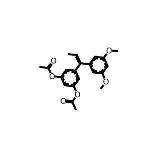 CC=C(c1cc(OC)cc(OC)c1)c1cc(OC(C)=O)cc(OC(C)=O)c1